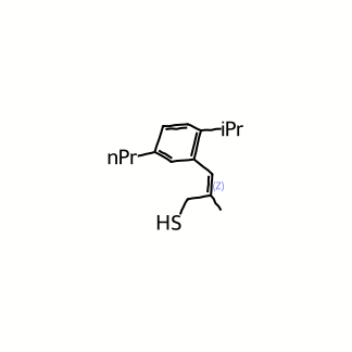 CCCc1ccc(C(C)C)c(/C=C(/C)CS)c1